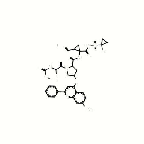 C=CC1CC1(NC(=O)C1CC(Oc2cc(-c3ccccc3)nc3cc(OC)ccc23)CN1C(=O)C(NC(=O)OC(C)(C)C)C(C)(C)C)C(=O)NS(=O)(=O)C1(CCC)CC1